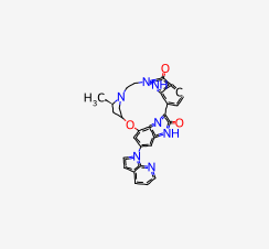 C[C@@H]1CC2CN1CCn1[nH]c3c(cccc3c1=O)-c1nc3c(cc(-n4ccc5cccnc54)cc3[nH]c1=O)O2